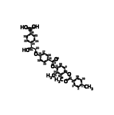 Cc1ccc(C(=O)Oc2ccc(OC(=O)c3ccc(OCC(O)c4ccc(B(O)O)cc4)cc3)c(C)c2C)cc1